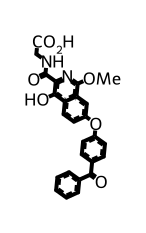 COc1nc(C(=O)NCC(=O)O)c(O)c2ccc(Oc3ccc(C(=O)c4ccccc4)cc3)cc12